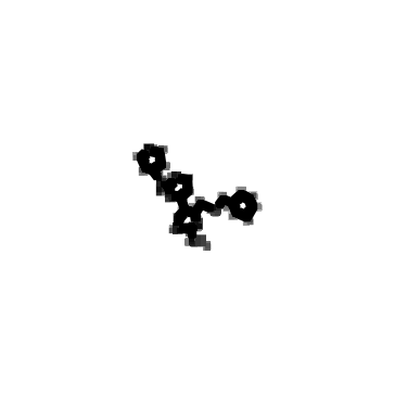 Cc1ncc(-c2ccnc(Nc3ccncc3)n2)c(COCc2ccccc2)n1